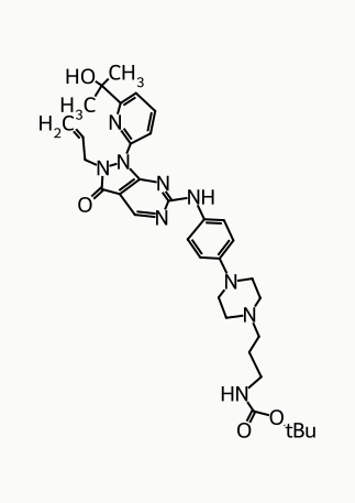 C=CCn1c(=O)c2cnc(Nc3ccc(N4CCN(CCCNC(=O)OC(C)(C)C)CC4)cc3)nc2n1-c1cccc(C(C)(C)O)n1